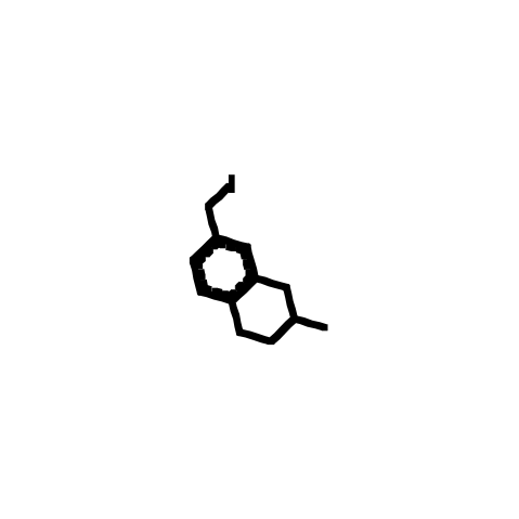 CC1CCc2ccc(CI)cc2C1